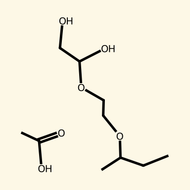 CC(=O)O.CCC(C)OCCOC(O)CO